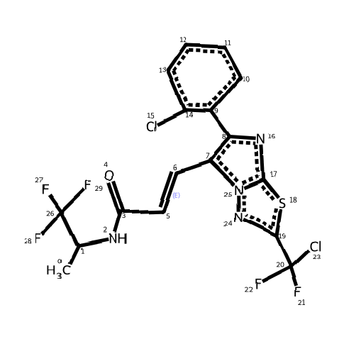 CC(NC(=O)/C=C/c1c(-c2ccccc2Cl)nc2sc(C(F)(F)Cl)nn12)C(F)(F)F